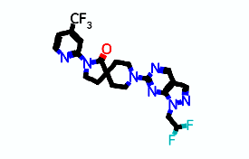 O=C1N(c2cc(C(F)(F)F)ccn2)CCC12CCN(c1ncc3cnn(CC(F)F)c3n1)CC2